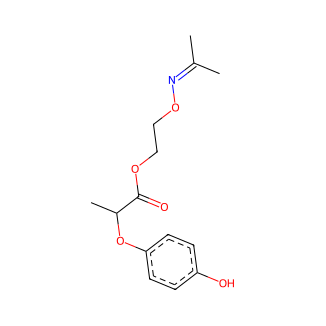 CC(C)=NOCCOC(=O)C(C)Oc1ccc(O)cc1